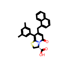 Cc1cc(C)cc(-c2c(Cc3cccc4ccccc34)cc(=O)n3c2SC[C@H]3C(=O)O)c1